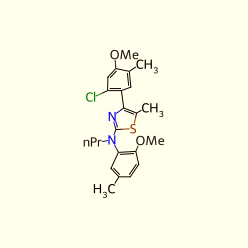 CCCN(c1nc(-c2cc(C)c(OC)cc2Cl)c(C)s1)c1cc(C)ccc1OC